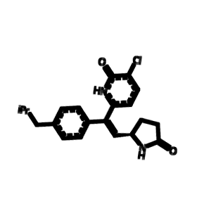 CC(C)Cc1ccc(C(=C[C@H]2CCC(=O)N2)c2ccc(Cl)c(=O)[nH]2)cc1